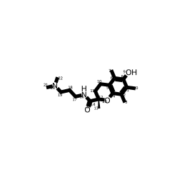 Cc1c(C)c2c(c(C)c1O)CC[C@@](C)(C(=O)NCCCN(C)C)O2